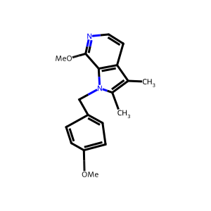 COc1ccc(Cn2c(C)c(C)c3ccnc(OC)c32)cc1